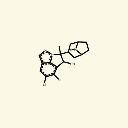 CC(=O)N1C2CCC1CC(C1(C)C(O)c3c(F)c(Cl)cc4cnn1c34)C2